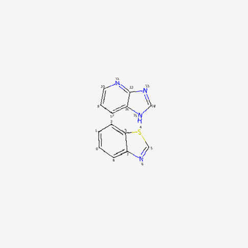 c1ccc2scnc2c1.c1cnc2nc[nH]c2c1